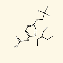 CCN(CC)CC.FC(F)(F)COc1ccc(NC(=S)S)cn1